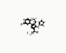 NC(=O)c1nc2n(c1CN1CCCC1)CCOc1ccc(Br)cc1-2